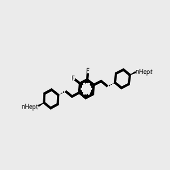 CCCCCCC[C@H]1CC[C@H](CCc2ccc(CC[C@H]3CC[C@H](CCCCCCC)CC3)c(F)c2F)CC1